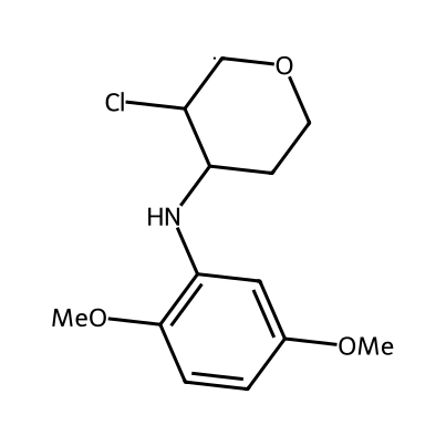 COc1ccc(OC)c(NC2CCO[CH]C2Cl)c1